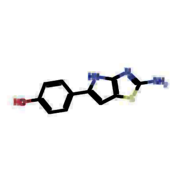 Nc1nc2[nH]c(-c3ccc(O)cc3)cc2s1